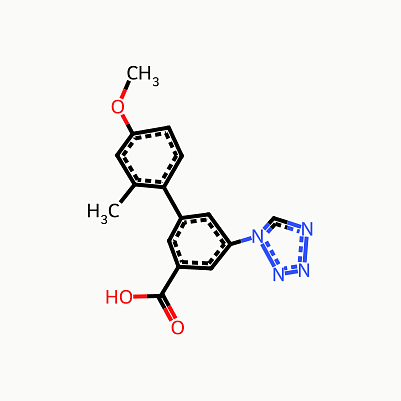 COc1ccc(-c2cc(C(=O)O)cc(-n3cnnn3)c2)c(C)c1